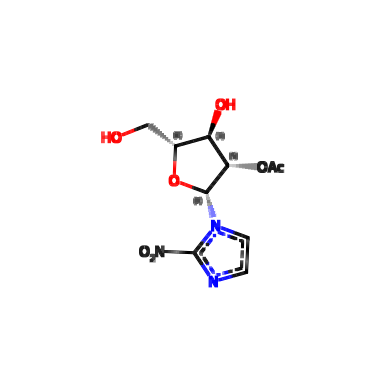 CC(=O)O[C@H]1[C@H](O)[C@@H](CO)O[C@H]1n1ccnc1[N+](=O)[O-]